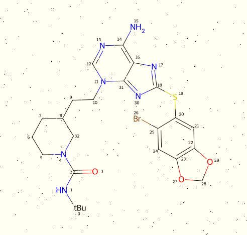 CC(C)(C)NC(=O)N1CCCC(CCn2cnc(N)c3nc(Sc4cc5c(cc4Br)OCO5)nc2-3)C1